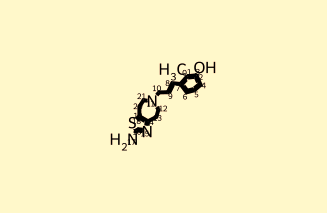 Cc1c(O)cccc1C=CCN1CCc2nc(N)sc2CC1